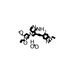 C=CC(=O)N1C[C@@H](n2cc(C#Cc3ccc4c(c3)ncn4CC)c3c(N)nccc32)C[C@@H]1COC.O=CO